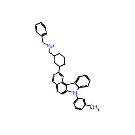 Cc1cccc(-n2c3ccccc3c3c4cc(C5CCCC(CNCc6ccccc6)C5)ccc4ccc32)c1